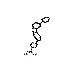 CC(=N)c1ccc(-c2ccc3c(c2)sc2ccc(-c4ccccc4)cc23)cc1